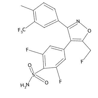 Cc1ccc(-c2noc(CF)c2-c2cc(F)c(S(N)(=O)=O)c(F)c2)cc1C(F)(F)F